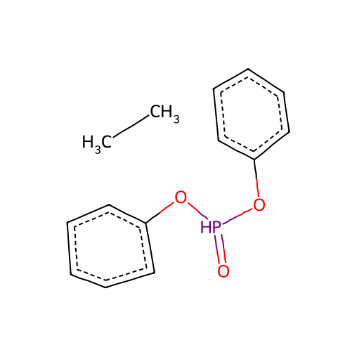 CC.O=[PH](Oc1ccccc1)Oc1ccccc1